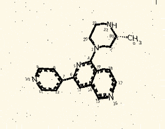 C[C@@H]1CN(c2nc(-c3ccncc3)cc3cnccc23)CCN1